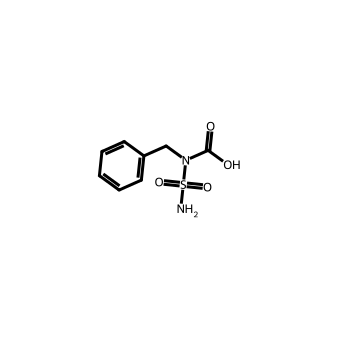 NS(=O)(=O)N(Cc1ccccc1)C(=O)O